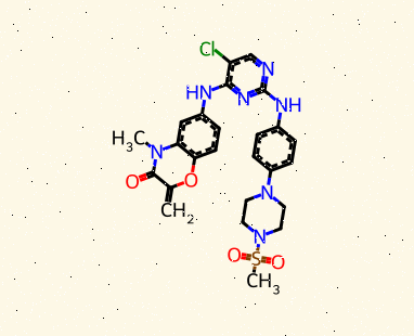 C=C1Oc2ccc(Nc3nc(Nc4ccc(N5CCN(S(C)(=O)=O)CC5)cc4)ncc3Cl)cc2N(C)C1=O